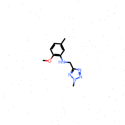 COc1ccc(C)cc1NCc1nnn(C)n1